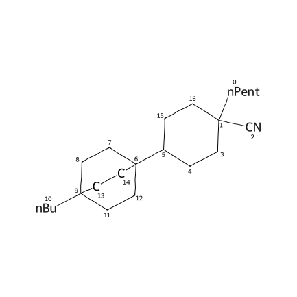 CCCCCC1(C#N)CCC(C23CCC(CCCC)(CC2)CC3)CC1